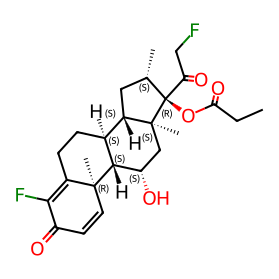 CCC(=O)O[C@]1(C(=O)CF)[C@@H](C)C[C@H]2[C@@H]3CCC4=C(F)C(=O)C=C[C@]4(C)[C@H]3[C@@H](O)C[C@@]21C